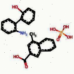 Cc1cc(C(=O)O)cc2ccccc12.Nc1ccccc1-c1ccccc1O.O=P(O)(O)O